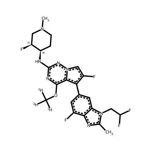 [2H]C([2H])([2H])Oc1nc(N[C@@H]2CCN(C)C[C@@H]2F)nn2cc(F)c(-c3cc(F)c4nc(C)n(CC(F)F)c4c3)c12